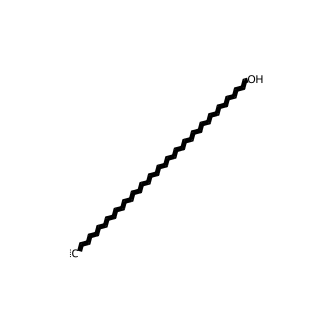 CCCCCCCCCCCCCCCCCCCCCCCCCCCCCCCCCCCCCCCCO.[C]